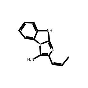 C/C=C\c1nc2[nH]c3ccccc3n2c1N